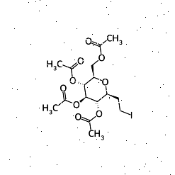 CC(=O)OC[C@H]1O[C@@H](CCI)[C@H](OC(C)=O)[C@@H](OC(C)=O)[C@@H]1OC(C)=O